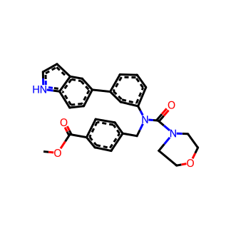 COC(=O)c1ccc(CN(C(=O)N2CCOCC2)c2cccc(-c3ccc4[nH]ccc4c3)c2)cc1